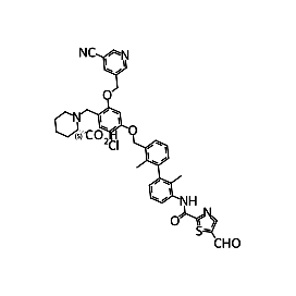 Cc1c(COc2cc(OCc3cncc(C#N)c3)c(CN3CCCC[C@H]3C(=O)O)cc2Cl)cccc1-c1cccc(NC(=O)c2ncc(C=O)s2)c1C